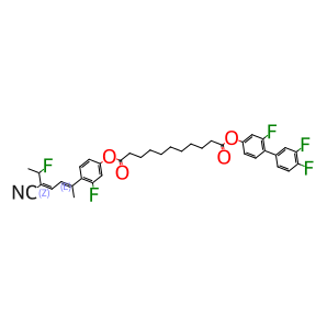 C/C(=C\C=C(\C#N)C(C)F)c1ccc(OC(=O)CCCCCCCCCC(=O)Oc2ccc(-c3ccc(F)c(F)c3)c(F)c2)cc1F